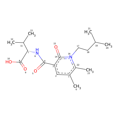 Cc1cc(C(=O)N[C@H](C(=O)O)C(C)C)c(=O)n(CCC(C)C)c1C